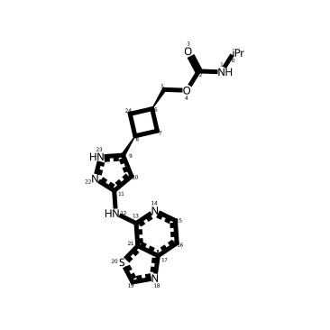 CC(C)NC(=O)OC[C@H]1C[C@@H](c2cc(Nc3nccc4ncsc34)n[nH]2)C1